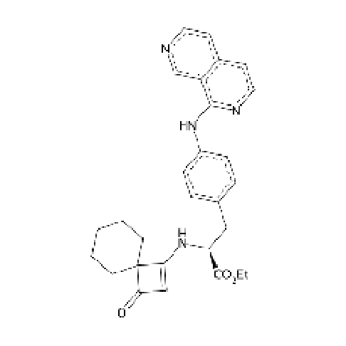 CCOC(=O)[C@H](Cc1ccc(Nc2nccc3ccncc23)cc1)NC1=CC(=O)C12CCCCC2